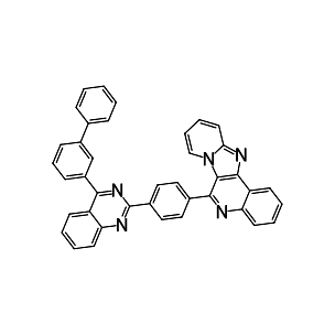 c1ccc(-c2cccc(-c3nc(-c4ccc(-c5nc6ccccc6c6nc7ccccn7c56)cc4)nc4ccccc34)c2)cc1